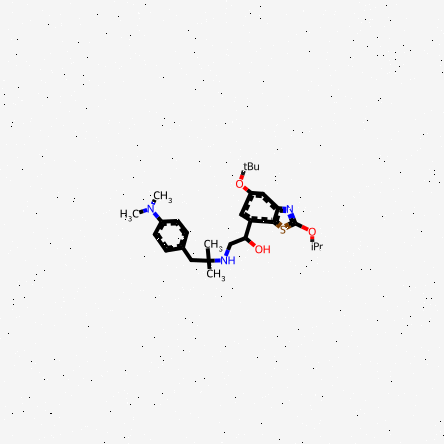 CC(C)Oc1nc2cc(OC(C)(C)C)cc(C(O)CNC(C)(C)Cc3ccc(N(C)C)cc3)c2s1